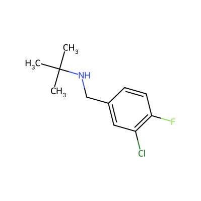 CC(C)(C)NCc1ccc(F)c(Cl)c1